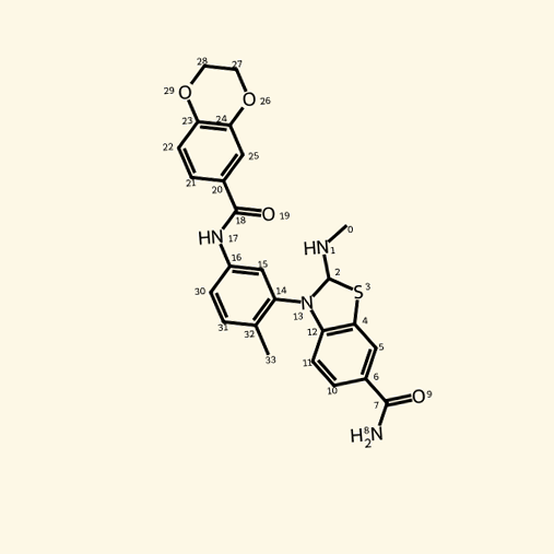 CNC1Sc2cc(C(N)=O)ccc2N1c1cc(NC(=O)c2ccc3c(c2)OCCO3)ccc1C